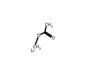 COC(C)=O.[Li]